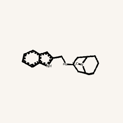 CN1C2CCCC1CC(NCc1cc3ccccc3[nH]1)C2